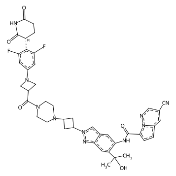 CC(C)(O)c1cc2nn(C3CC(N4CCN(C(=O)C5CN(c6cc(F)c([C@H]7CCC(=O)NC7=O)c(F)c6)C5)CC4)C3)cc2cc1NC(=O)c1ccc2cc(C#N)cnn12